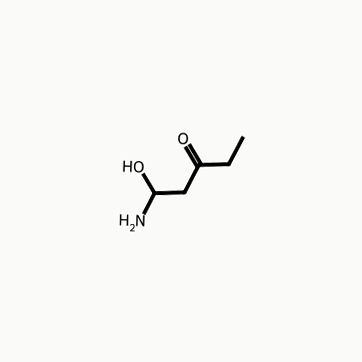 CCC(=O)CC(N)O